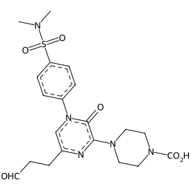 CN(C)S(=O)(=O)c1ccc(-n2cc(CCC=O)nc(N3CCN(C(=O)O)CC3)c2=O)cc1